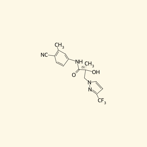 Cc1cc(NC(=O)[C@@](C)(O)Cn2ccc(C(F)(F)F)n2)ccc1C#N